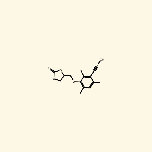 Cc1cc(C)c(OCC2COC(=O)O2)c(C)c1C#[N+]O